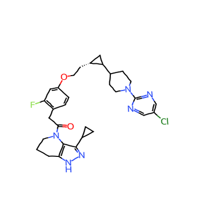 O=C(Cc1ccc(OCC[C@@H]2CC2C2CCN(c3ncc(Cl)cn3)CC2)cc1F)N1CCCc2[nH]nc(C3CC3)c21